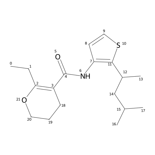 CCC1=C(C(=O)Nc2ccsc2C(C)CC(C)C)CCCO1